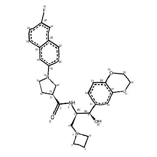 O=C(N[C@H](CN1CCC1)[C@H](O)c1ccc2c(c1)OCCO2)[C@H]1CCN(c2ccc3cc(F)ccc3c2)C1